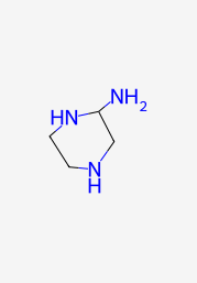 NC1CNCCN1